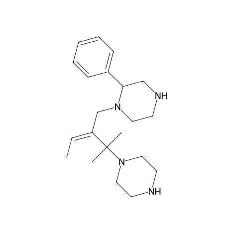 CC=C(CN1CCNCC1c1ccccc1)C(C)(C)N1CCNCC1